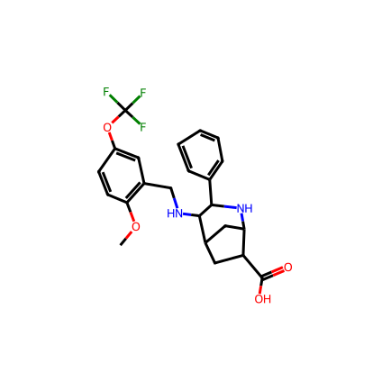 COc1ccc(OC(F)(F)F)cc1CNC1C2CC(NC1c1ccccc1)C(C(=O)O)C2